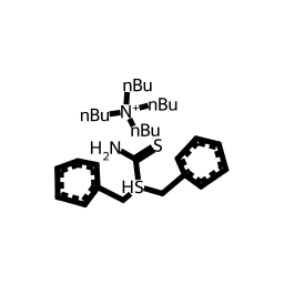 CCCC[N+](CCCC)(CCCC)CCCC.NC(=S)[SH](Cc1ccccc1)Cc1ccccc1